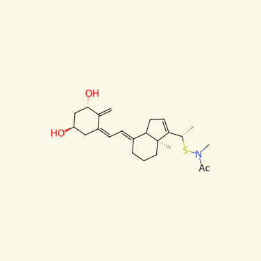 C=C1C(=CC=C2CCC[C@]3(C)C([C@H](C)SN(C)C(C)=O)=CCC23)C[C@@H](O)C[C@@H]1O